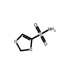 NS(=O)(=O)C1=COCO1